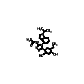 CCc1cc(-c2nnc(NC(N)=O)n2-c2cccc3c2ccn3C(C)C)c(O)cc1O